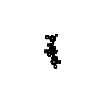 O=C1CCc2cc(N3C(=O)C(O)(OC(=O)NCc4cc(F)cc(Cl)c4)CC3F)ccc2N1